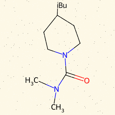 CCC(C)C1CCN(C(=O)N(C)C)CC1